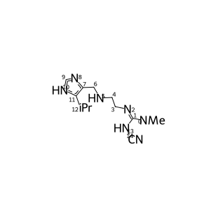 CNC(=NCCNCc1nc[nH]c1C(C)C)NC#N